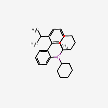 Cc1cccc(C(C)C)c1-c1ccccc1P(C1CCCCC1)C1CCCCC1